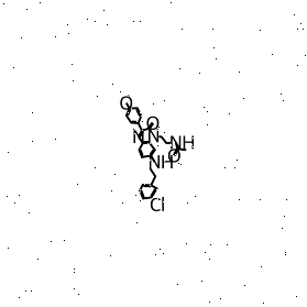 COc1ccc(-c2nc3ccc(NCCc4cccc(Cl)c4)cc3n(CCNC(C)=O)c2=O)cc1